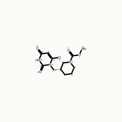 CC(C)(C)OC(=O)N1CCC[C@H](Cn2c(Cl)cc(=O)[nH]c2=O)C1